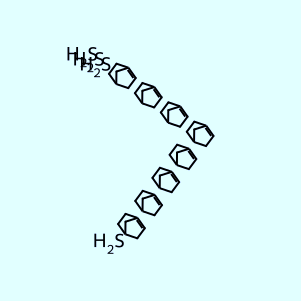 C1=C2CCC(C1)C2.C1=C2CCC(C1)C2.C1=C2CCC(C1)C2.C1=C2CCC(C1)C2.C1=C2CCC(C1)C2.C1=C2CCC(C1)C2.C1=C2CCC(C1)C2.C1=C2CCC(C1)C2.S.S.S.S